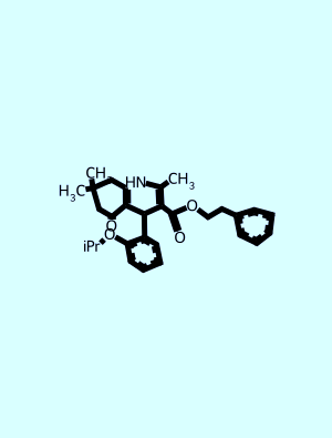 CC1=C(C(=O)OCCc2ccccc2)C(c2ccccc2OC(C)C)C2=C(CC(C)(C)CC2=O)N1